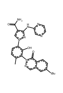 Cc1ccc(-n2cc(C(N)=O)c(Nc3cnccn3)n2)c(O)c1-n1ncc2cc(C(C)(C)C)ccc2c1=O